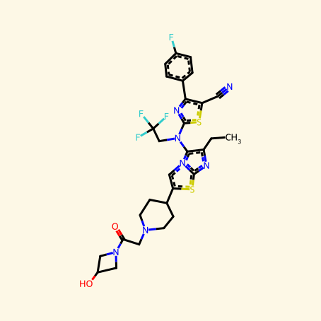 CCc1nc2sc(C3CCN(CC(=O)N4CC(O)C4)CC3)cn2c1N(CC(F)(F)F)c1nc(-c2ccc(F)cc2)c(C#N)s1